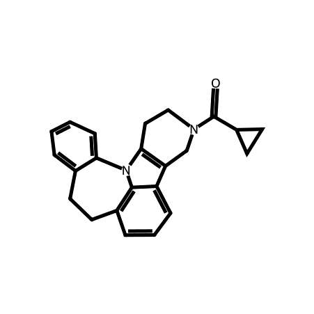 O=C(C1CC1)N1CCc2c(c3cccc4c3n2-c2ccccc2CC4)C1